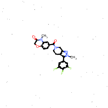 CN1C(=O)COc2ccc(C(=O)N3CCc4c(nn(C)c4-c4cc(F)c(F)c(F)c4)C3)cc21